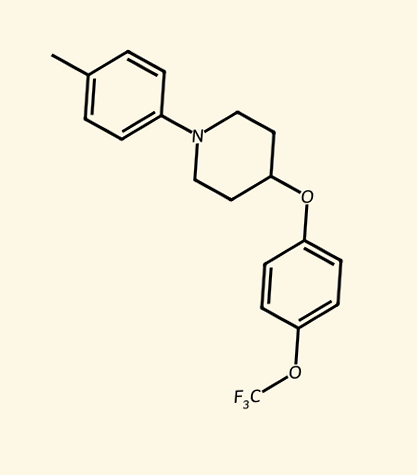 Cc1ccc(N2CCC(Oc3ccc(OC(F)(F)F)cc3)CC2)cc1